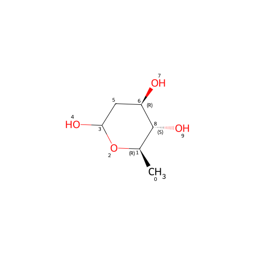 C[C@H]1OC(O)C[C@@H](O)[C@@H]1O